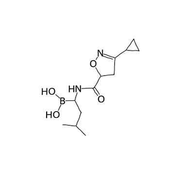 CC(C)CC(NC(=O)C1CC(C2CC2)=NO1)B(O)O